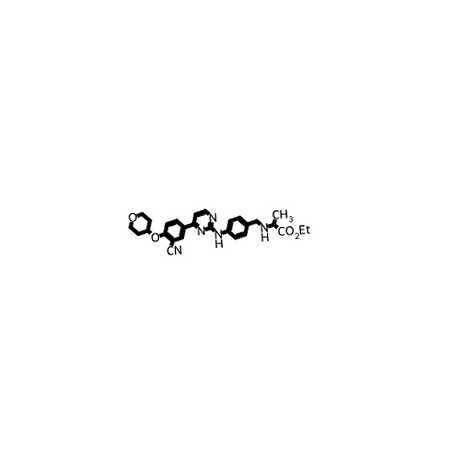 CCOC(=O)C(C)NCc1ccc(Nc2nccc(-c3ccc(OC4CCOCC4)c(C#N)c3)n2)cc1